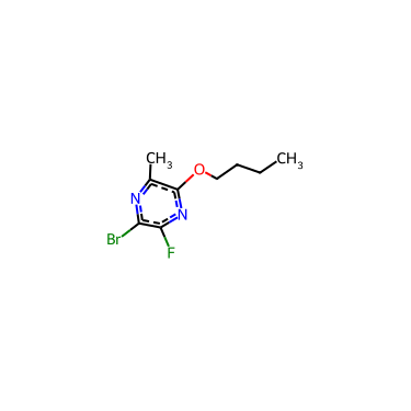 CCCCOc1nc(F)c(Br)nc1C